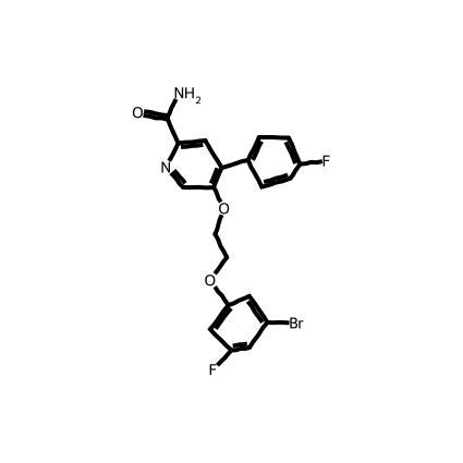 NC(=O)c1cc(-c2ccc(F)cc2)c(OCCOc2cc(F)cc(Br)c2)cn1